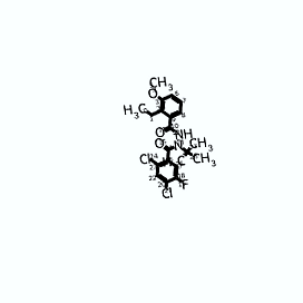 CCc1c(OC)cccc1C(=O)NN(C(=O)c1cc(F)c(Cl)cc1Cl)C(C)(C)C